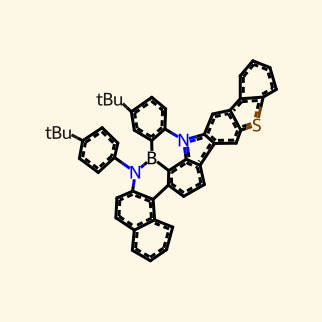 CC(C)(C)c1ccc(N2B3c4cc(C(C)(C)C)ccc4-n4c5cc6c(cc5c5ccc(c3c54)-c3c2ccc2ccccc32)sc2ccccc26)cc1